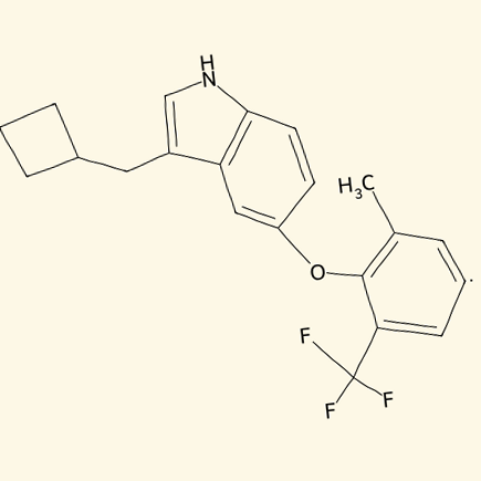 Cc1c[c]cc(C(F)(F)F)c1Oc1ccc2[nH]cc(CC3CCC3)c2c1